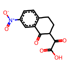 O=C(O)C(=O)C1CCc2ccc([N+](=O)[O-])cc2C1=O